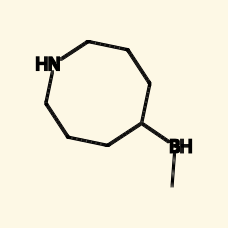 CBC1CCCNCCC1